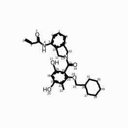 C=CC(=O)Nc1cccc2c1CN(C(=O)c1c(O)cc(O)c(C)c1OCC1CCCCC1)C2